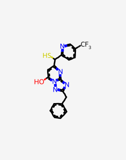 Oc1cc(C(S)c2ccc(C(F)(F)F)cn2)nc2nc(Cc3ccccc3)nn12